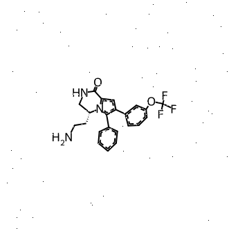 NCC[C@@H]1CNC(=O)c2cc(-c3cccc(OC(F)(F)F)c3)c(-c3ccccc3)n21